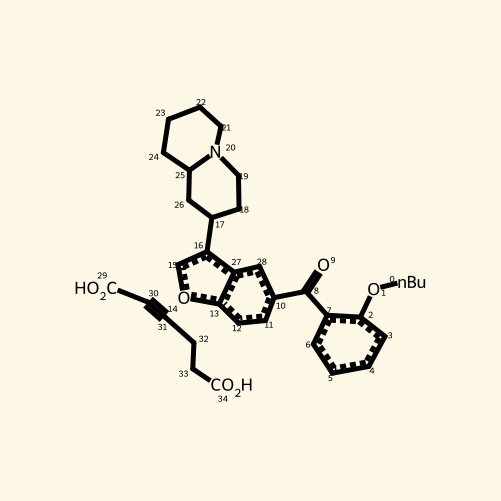 CCCCOc1ccccc1C(=O)c1ccc2occ(C3CCN4CCCCC4C3)c2c1.O=C(O)C#CCCC(=O)O